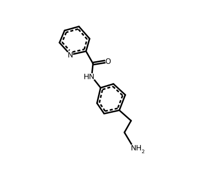 NCCc1ccc(NC(=O)c2ccccn2)cc1